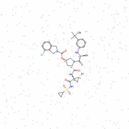 CC[C@@H]1C[C@]1(NC(=O)[C@@H]1C[C@@H](OC(=O)N2Cc3cccc(Cl)c3C2)CN1C(=O)[C@@H](Nc1cccc(C(C)(C)C#N)c1)C(C)C)C(=O)NS(=O)(=O)C1CC1